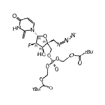 C=C1NC(=O)C=CN1[C@@H]1O[C@](CN=[N+]=[N-])(COP(=O)(OCOC(=O)C(C)(C)C)OCOC(=O)C(C)(C)C)[C@@H](O)[C@H]1F